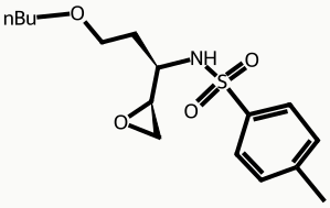 CCCCOCC[C@@H](NS(=O)(=O)c1ccc(C)cc1)[C@H]1CO1